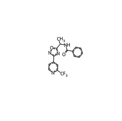 CC(NC(=O)c1ccccc1)c1nc(-c2ccnc(C(F)(F)F)c2)no1